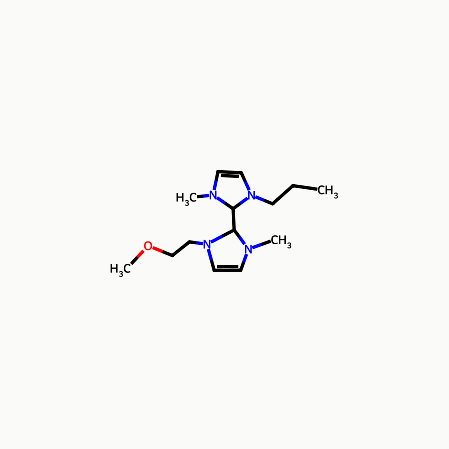 CCCN1C=CN(C)C1C1N(C)C=CN1CCOC